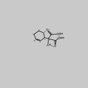 COC(=O)C(C)(C(=O)OC)C1C=CCCC1